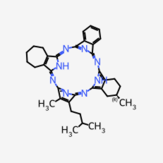 CC1=C(CCC(C)C)c2nc1nc1[nH]c(nc3nc(nc4[nH]c(n2)c2c4CC[C@@H](C)C2)-c2ccccc2-3)c2c1CCCCC2